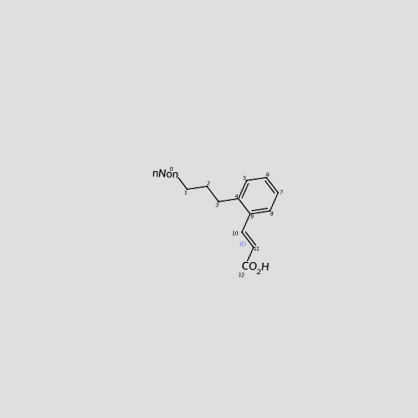 CCCCCCCCCCCCc1ccccc1/C=C/C(=O)O